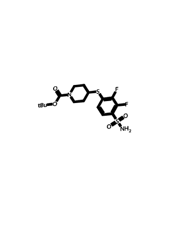 CC(C)(C)OC(=O)N1CCC(Sc2ccc(S(N)(=O)=O)c(F)c2F)CC1